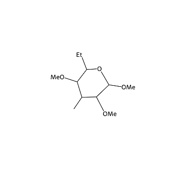 CCC1OC(OC)C(OC)C(C)C1OC